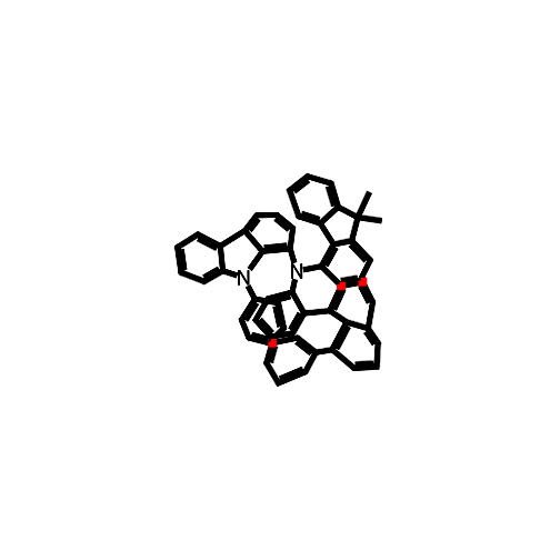 CC1(C)c2ccccc2-c2c(N(c3ccccc3-c3cccc4cccc(-c5ccccc5)c34)c3cccc4c5ccccc5n(-c5ccccc5)c34)cccc21